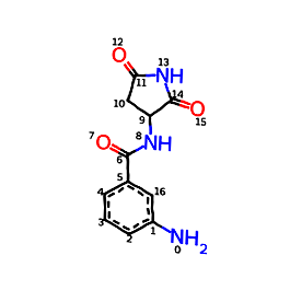 Nc1cccc(C(=O)NC2CC(=O)NC2=O)c1